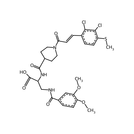 COc1ccc(C(=O)NCC(NC(=O)C2CCN(C(=O)C=Cc3ccc(SC)c(Cl)c3Cl)CC2)C(=O)O)cc1OC